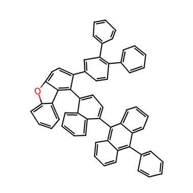 c1ccc(-c2ccc(-c3ccc4oc5ccccc5c4c3-c3ccc(-c4c5ccccc5c(-c5ccccc5)c5ccccc45)c4ccccc34)cc2-c2ccccc2)cc1